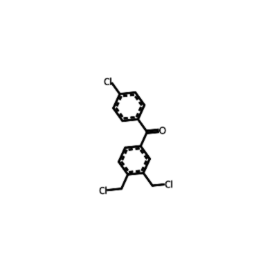 O=C(c1ccc(Cl)cc1)c1ccc(CCl)c(CCl)c1